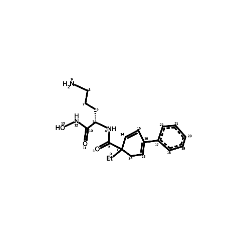 CCC1(C(=O)N[C@@H](CCCN)C(=O)NO)C=CC(c2ccccc2)=CC1